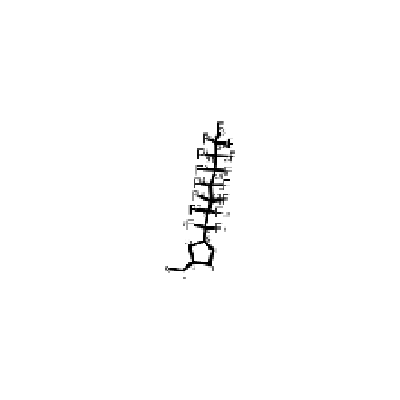 [CH2]CC1C[CH]C(C(F)(F)C(F)(F)C(F)(F)C(F)(F)C(F)(F)C(F)(F)C(F)(F)F)C1